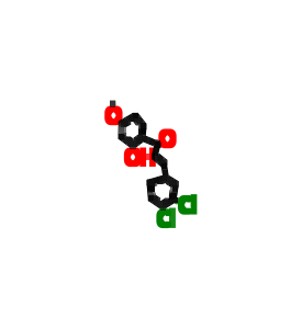 COc1ccc(C(=O)/C=C/c2ccc(Cl)c(Cl)c2)c(O)c1